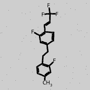 Cc1ccc(CCc2ccc(/C=C/C(F)(F)F)c(F)c2)c(F)c1